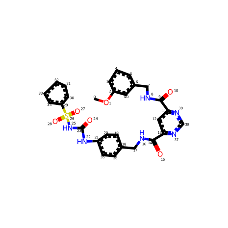 COc1cccc(CNC(=O)c2cc(C(=O)NCc3ccc(NC(=O)NS(=O)(=O)c4ccccc4)cc3)ncn2)c1